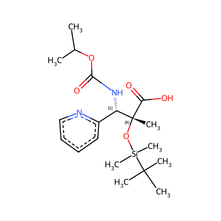 CC(C)OC(=O)N[C@@H](c1ccccn1)[C@@](C)(O[Si](C)(C)C(C)(C)C)C(=O)O